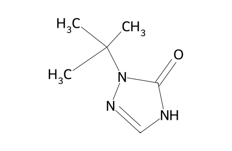 CC(C)(C)n1nc[nH]c1=O